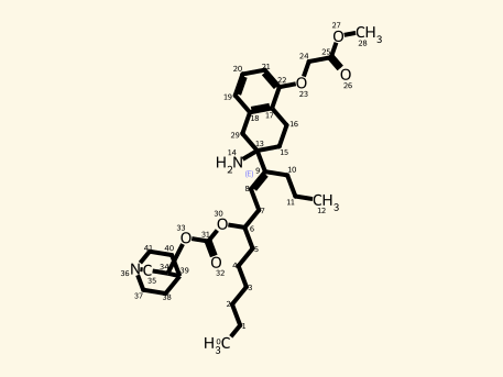 CCCCCCC(C/C=C(\CCC)C1(N)CCc2c(cccc2OCC(=O)OC)C1)OC(=O)OC1CN2CCC1CC2